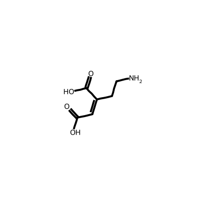 NCCC(=CC(=O)O)C(=O)O